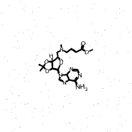 COC(=O)CCCN(C)CC1OC(N2C=NC3C(N)=NC=NC32)C2OC(C)(C)O[C@H]12